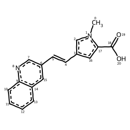 Cn1cc(C=Cc2cnc3ccccc3c2)cc1C(=O)O